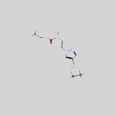 CC(C)COC(=O)N(C)CCn1cc(B2OC(C)(C)C(C)(C)O2)cn1